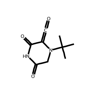 CC(C)(C)N1CC(=O)NC(=O)C1=C=O